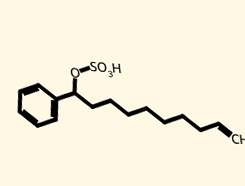 C=CCCCCCCCC(OS(=O)(=O)O)c1ccccc1